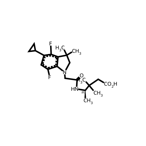 C[C@@H](NC(=O)CN1CC(C)(C)c2c(F)c(C3CC3)cc(F)c21)C(C)(C)CC(=O)O